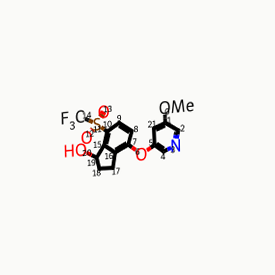 COc1cncc(Oc2ccc(S(=O)(=O)C(F)(F)F)c3c2CCC3O)c1